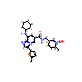 Cc1ccc(-c2cnc3c(NC4CCCCC4)cc(C(=O)NCc4ccc(C)[n+](O)c4)cn23)s1